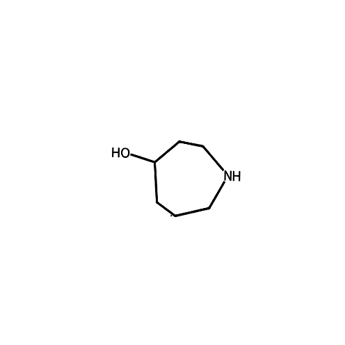 OC1C[CH]CNCC1